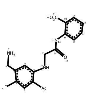 CC(=O)c1cc(F)c(CN)cc1NCC(=O)Nc1ccccc1C(=O)O